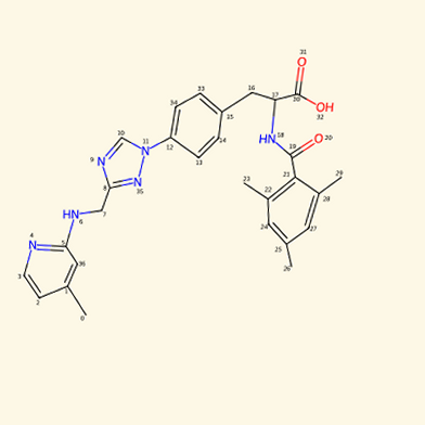 Cc1ccnc(NCc2ncn(-c3ccc(CC(NC(=O)c4c(C)cc(C)cc4C)C(=O)O)cc3)n2)c1